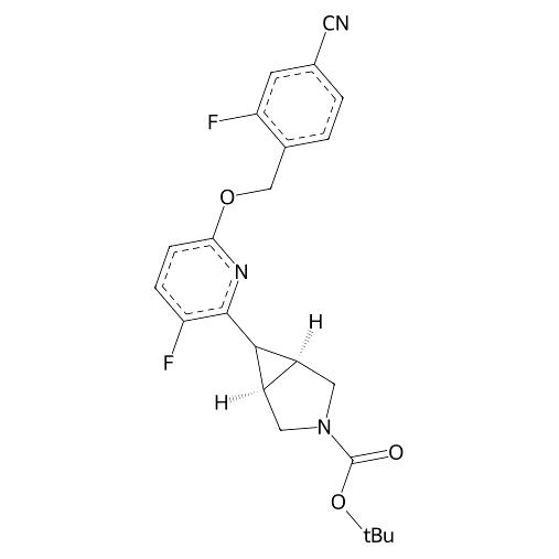 CC(C)(C)OC(=O)N1C[C@@H]2C(c3nc(OCc4ccc(C#N)cc4F)ccc3F)[C@@H]2C1